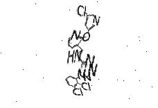 Clc1cncc(Oc2ncccc2CNc2nnnn2-c2cccc(Cl)c2Cl)c1